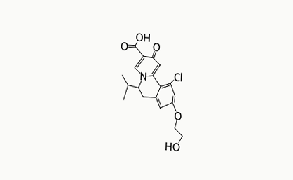 CC(C)C1Cc2cc(OCCO)cc(Cl)c2-c2cc(=O)c(C(=O)O)cn21